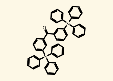 O=C(c1cccc([Si](c2ccccc2)(c2ccccc2)c2ccccc2)c1)c1cccc([Si](c2ccccc2)(c2ccccc2)c2ccccc2)c1